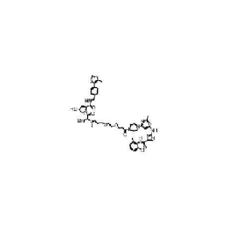 Cc1nc(Nc2ncc(C(=O)Nc3c(C)cccc3Cl)s2)cc(N2CCN(C(=O)CCOCCOCCCNC(C(=O)N3C[C@H](O)C[C@H]3C(=O)NCc3ccc(-c4scnc4C)cc3)C(C)(C)C)CC2)n1